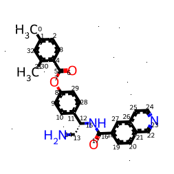 Cc1ccc(C(=O)Oc2ccc([C@@H](CN)NC(=O)c3ccc4cnccc4c3)cc2)c(C)c1